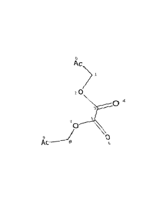 CC(=O)COC(=O)C(=O)OCC(C)=O